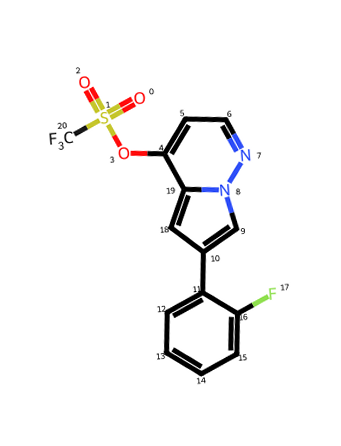 O=S(=O)(Oc1ccnn2cc(-c3ccccc3F)cc12)C(F)(F)F